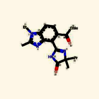 CCn1c(C)nc2c(C3=NC(C)(C(C)C)C(=O)N3)c(C(=O)OC)ccc21